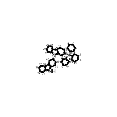 c1ccc([Si](c2ccccc2)(c2ccccc2)c2ccc3c4ccccc4n(-c4ccc5[nH]c6ccccc6c5c4)c3c2)cc1